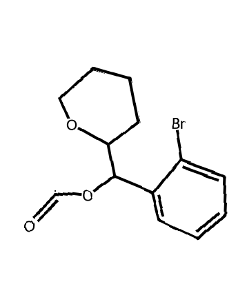 O=[C]OC(c1ccccc1Br)C1CCCCO1